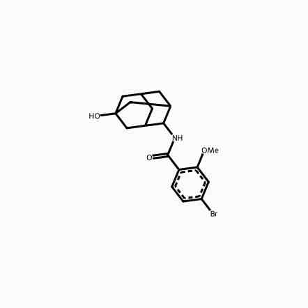 COc1cc(Br)ccc1C(=O)NC1C2CC3CC1CC(O)(C3)C2